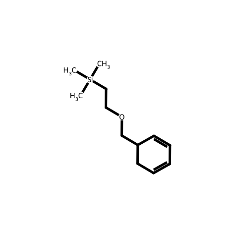 C[Si](C)(C)CCOCC1C=CC=CC1